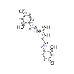 N=C(NC/N=C/c1ccc(Cl)cc1O)N/N=C/c1c#cc(Cl)cc1O